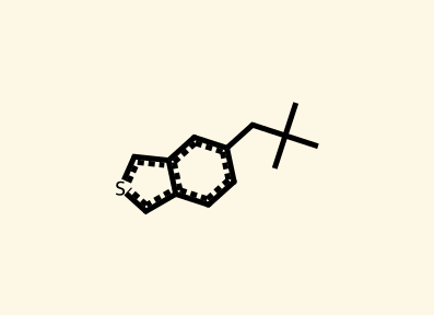 CC(C)(C)Cc1ccc2cscc2c1